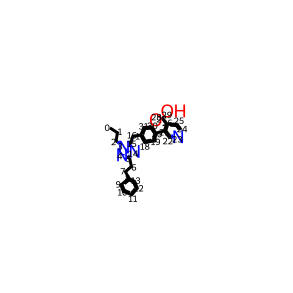 CCCn1nc(CCc2ccccc2)nc1Cc1ccc(-c2cnccc2C(=O)O)cc1